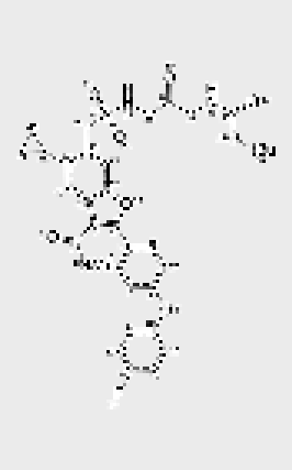 CNC(=O)c1c(-c2ccc(Oc3ccc(F)cc3)cc2)oc2cc(CS(=O)(=O)NCC(=O)CNC(=O)OC(C)(C)C)c(C3CC3)cc12